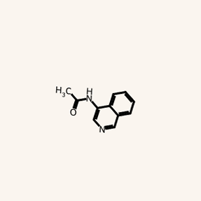 CC(=O)Nc1cncc2ccccc12